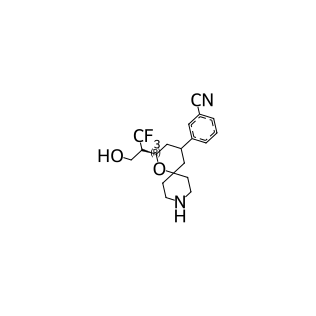 N#Cc1cccc(C2C[C@H](C(CO)C(F)(F)F)OC3(CCNCC3)C2)c1